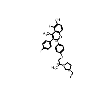 CC1=C(c2ccc(F)cc2)[C@H](c2ccc(OC[C@H](C)N3CC[C@@H](CF)C3)cc2)Oc2ccc(O)c(F)c21